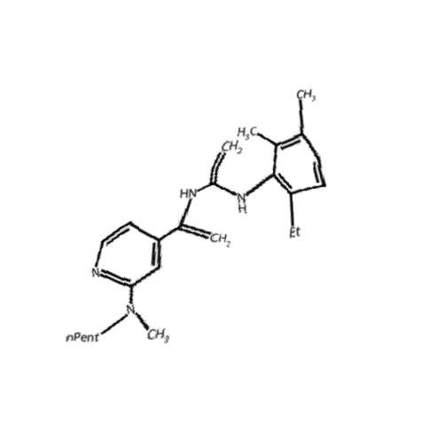 C=C(NC(=C)c1ccnc(N(C)CCCCC)c1)Nc1c(CC)ccc(C)c1C